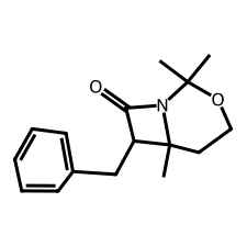 CC1(C)OCCC2(C)C(Cc3ccccc3)C(=O)N12